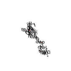 CC[C@H](NC(=O)[C@H]1C[C@@H](NCCOCCOCCC(=O)N2CCN(C(=O)c3ccc(NC(=O)c4cnc(N)c(O[C@H](C)c5c(F)ccc(Cl)c5F)c4)cc3)CC2)CN1C(=O)C(NC(=O)[C@@H](C)NC)C(C)(C)C)c1ccccc1